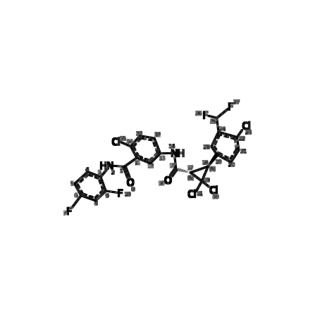 O=C(Nc1ccc(F)cc1F)c1cc(NC(=O)[C@@H]2[C@@H](c3ccc(Cl)c(C(F)F)c3)C2(Cl)Cl)ccc1Cl